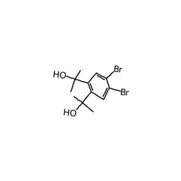 CC(C)(O)c1cc(Br)c(Br)cc1C(C)(C)O